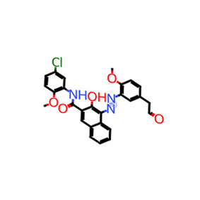 COc1ccc(CC=O)cc1/N=N/c1c(O)c(C(=O)Nc2cc(Cl)ccc2OC)cc2ccccc12